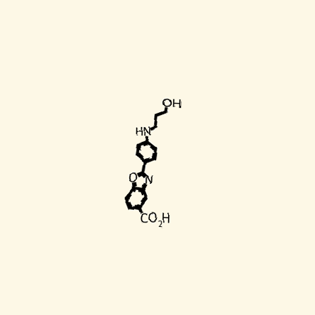 O=C(O)c1ccc2oc(-c3ccc(NCCCO)cc3)nc2c1